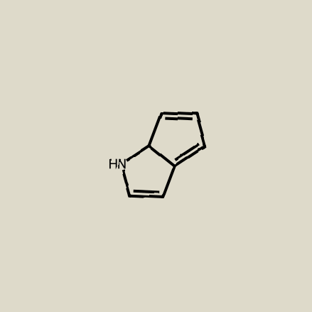 C1=CC2NC=CC2=C1